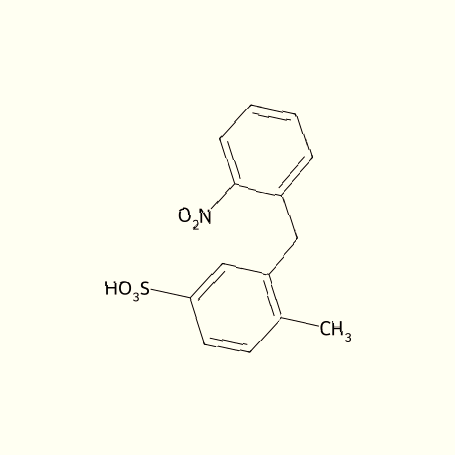 Cc1ccc(S(=O)(=O)O)cc1Cc1ccccc1[N+](=O)[O-]